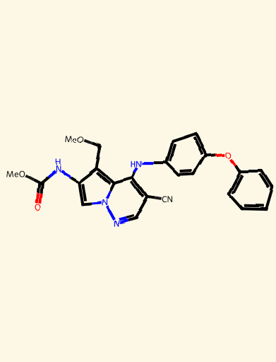 COCc1c(NC(=O)OC)cn2ncc(C#N)c(Nc3ccc(Oc4ccccc4)cc3)c12